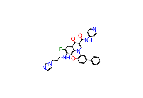 O=C(Nc1ccncc1)c1cn2c3c(c(NCCCn4ccnc4)c(F)cc3c1=O)Oc1ccc(-c3ccccc3)cc1-2